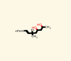 CCCCCC=CC(C)(CC)CC(O)CC(C)O